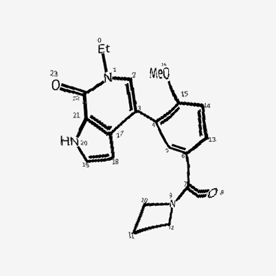 CCn1cc(-c2cc(C(=O)N3CCC3)ccc2OC)c2cc[nH]c2c1=O